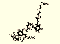 COCCOCCOCCOc1ccccc1-c1nccc(COc2ccc(O[Si](C)(C)C(C)(C)C)cc2CC(OC(C)=O)C(=O)O)n1